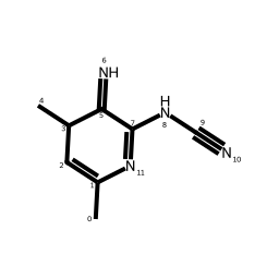 CC1=CC(C)C(=N)C(NC#N)=N1